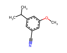 COc1cc(C#N)cc([C](C)C)c1